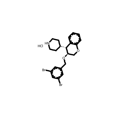 Brc1cc(Br)cc(CO[C@@H]2COc3ccccc3[C@H]2C2CCNCC2)c1.Cl